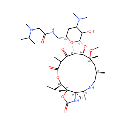 CC[C@H]1OC(=O)C(C)C(=O)[C@H](C)[C@@H](O[C@@H]2O[C@H](CNC(=O)CN(C)C(C)C)CC(N(C)C)C2O)[C@](C)(OC)C[C@@H](C)CN[C@H](C)[C@H]2NC(=O)O[C@@]21C